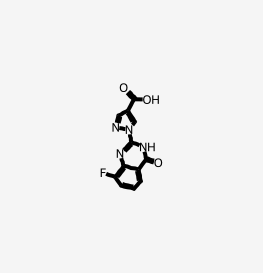 O=C(O)c1cnn(-c2nc3c(F)cccc3c(=O)[nH]2)c1